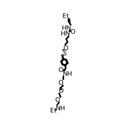 CCC#CCNC(=O)NCCCCOCSSc1ccc(CC(=O)NCCOCCOCCOCCNCC)cc1